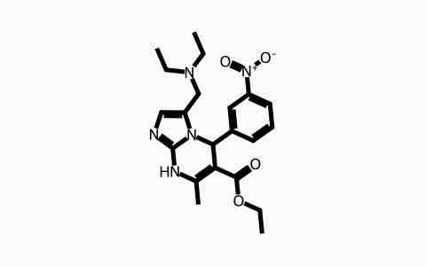 CCOC(=O)C1=C(C)Nc2ncc(CN(CC)CC)n2C1c1cccc([N+](=O)[O-])c1